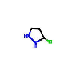 ClC1CCNN1